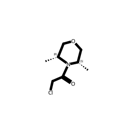 C[C@@H]1COC[C@H](C)N1C(=O)CCl